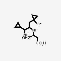 CC(C)C1(CC(N[C@H](C=O)CC(=O)O)C(N)C2CC2)CC1